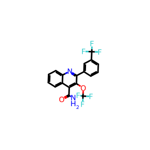 NC(=O)c1c(OC(F)(F)F)c(-c2cccc(C(F)(F)F)c2)nc2ccccc12